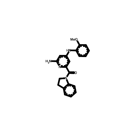 COc1ccccc1Nc1cc(N)nc(C(=O)N2CCc3ccccc32)c1